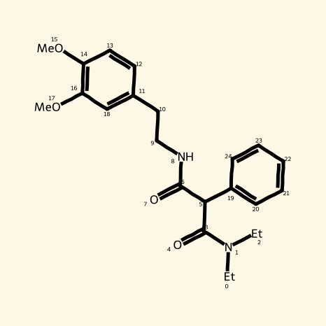 CCN(CC)C(=O)C(C(=O)NCCc1ccc(OC)c(OC)c1)c1ccccc1